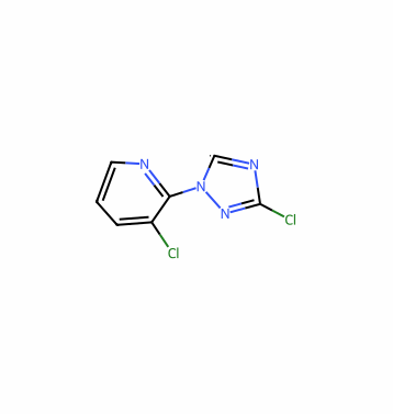 Clc1n[c]n(-c2ncccc2Cl)n1